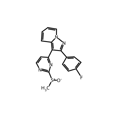 C[S+]([O-])c1nccc(-c2c(-c3ccc(F)cc3)nn3ccccc23)n1